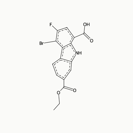 CCOC(=O)c1ccc2c(c1)[nH]c1c(C(=O)O)cc(F)c(Br)c12